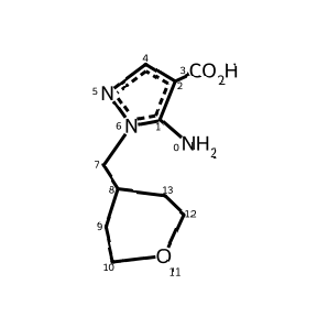 Nc1c(C(=O)O)cnn1CC1CCOCC1